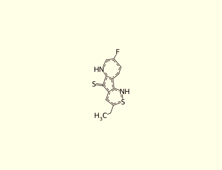 CCc1cc2c(=S)c3[nH]cc(F)ccc3c2[nH]s1